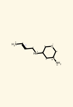 N/C=C/CNC1COC[C@@H](N)C1